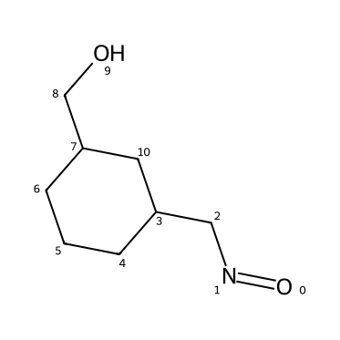 O=NCC1CCCC(CO)C1